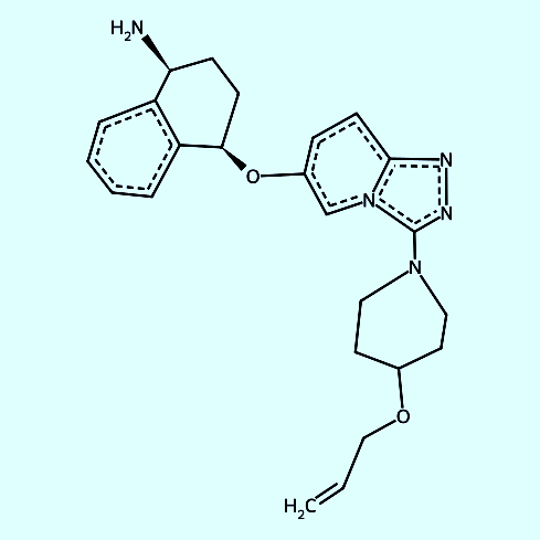 C=CCOC1CCN(c2nnc3ccc(O[C@@H]4CC[C@H](N)c5ccccc54)cn23)CC1